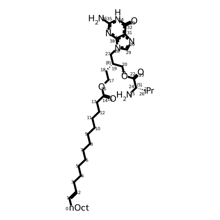 CCCCCCCCC=CCCCCCCCCCCCC(=O)OCC[C@@H](COC(=O)[C@@H](N)C(C)C)Cn1cnc2c(=O)[nH]c(N)nc21